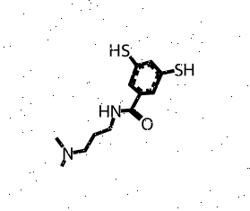 CN(C)CCCNC(=O)c1cc(S)cc(S)c1